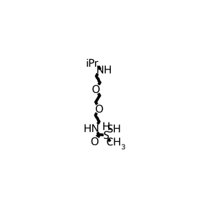 CC(C)NCCOCCOCCNC(=O)[SH](C)S